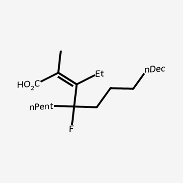 CCCCCCCCCCCCCC(F)(CCCCC)C(CC)=C(C)C(=O)O